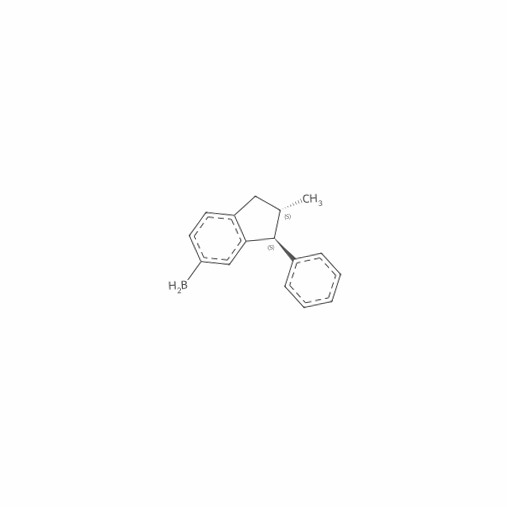 Bc1ccc2c(c1)[C@H](c1ccccc1)[C@@H](C)C2